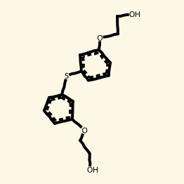 OCCOc1cccc(Sc2cccc(OCCO)c2)c1